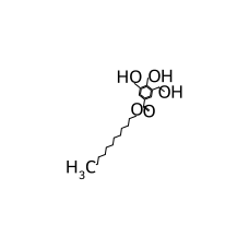 CCCCCCCCCCCCOC(=O)c1cc(CO)c(CO)c(CO)c1